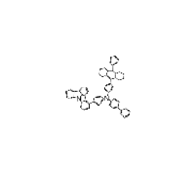 c1ccc(-c2ccc(N(c3ccc(-c4c5c(c(-c6ccccc6)c6c4CCCC6)CCCC5)cc3)c3ccc(-c4cccc5c4c4cccc6c7ccccc7n5c64)cc3)cc2)cc1